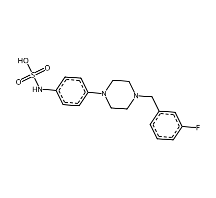 O=S(=O)(O)Nc1ccc(N2CCN(Cc3cccc(F)c3)CC2)cc1